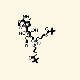 CC(C)(C)C(=O)SCCOP(=O)(OCCSC(=O)C(C)(C)C)OC[C@@H](OC#N)[C@@H](O)[C@@H](O)c1ccc2c(N)ncnn12